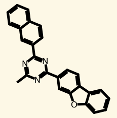 Cc1nc(-c2ccc3ccccc3c2)nc(-c2ccc3c(c2)oc2ccccc23)n1